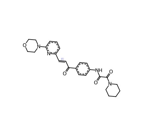 O=C(Nc1ccc(C(=O)/C=C/c2cccc(N3CCOCC3)n2)cc1)C(=O)N1CCCCC1